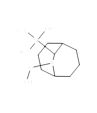 COB1C2CCCC(CCC2)C1[Si](C)(C)C